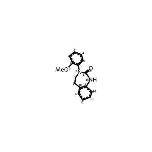 COc1ccccc1N1CCc2ccccc2NC1=O